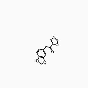 O=C(Cc1ccc2c(c1)OCO2)c1cnco1